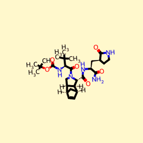 CC(C)(C)OC(=O)N[C@H](C(=O)N1C[C@H]2[C@@H]([C@H]1C(=O)N[C@@H](C[C@@H]1CCNC1=O)C(N)=O)[C@H]1C=C[C@@H]2C1)C(C)(C)C